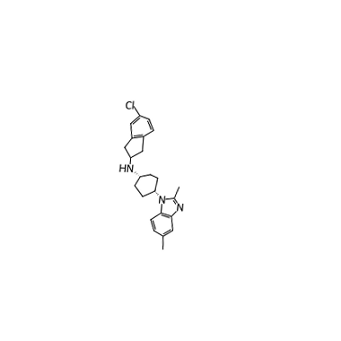 Cc1ccc2c(c1)nc(C)n2[C@H]1CC[C@@H](NC2Cc3ccc(Cl)cc3C2)CC1